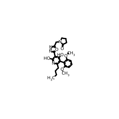 CCCCc1nc(O)c(-c2nnc(CN3CCCC3=O)o2)c(O)c1-c1c(OC)cccc1OC